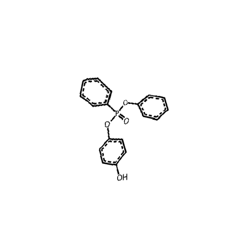 O=P(Oc1ccccc1)(Oc1ccc(O)cc1)c1ccccc1